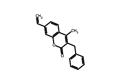 C=Cc1ccc2c(C)c(Cc3ccccc3)c(=O)oc2c1